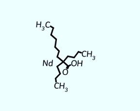 CCCCCCCC(CCCC)(CCCC)C(=O)O.[Nd]